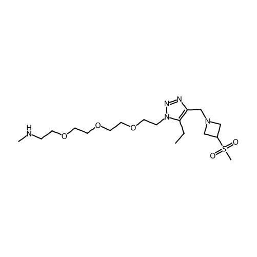 CCc1c(CN2CC(S(C)(=O)=O)C2)nnn1CCOCCOCCOCCNC